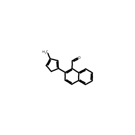 CC1=CCC(c2ccc3ccccc3c2C=O)=C1